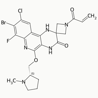 C=CC(=O)N1CC2(C1)Nc1c(c(OC[C@@H]3CCCN3C)nc3c(F)c(Br)c(Cl)cc13)NC2=O